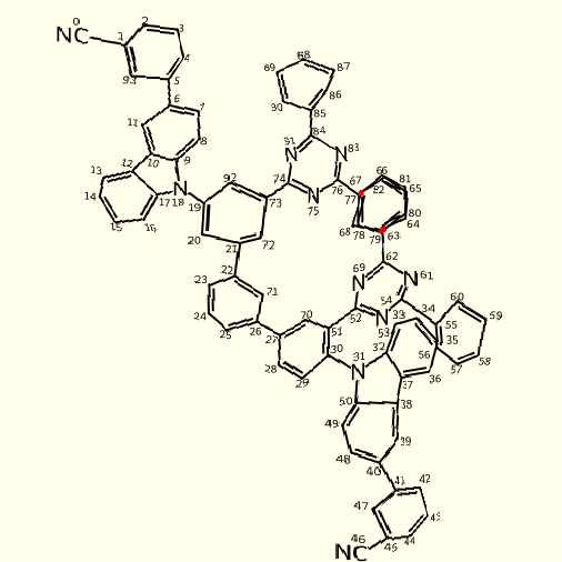 N#Cc1cccc(-c2ccc3c(c2)c2ccccc2n3-c2cc(-c3cccc(-c4ccc(-n5c6ccccc6c6cc(-c7cccc(C#N)c7)ccc65)c(-c5nc(-c6ccccc6)nc(-c6ccccc6)n5)c4)c3)cc(-c3nc(-c4ccccc4)nc(-c4ccccc4)n3)c2)c1